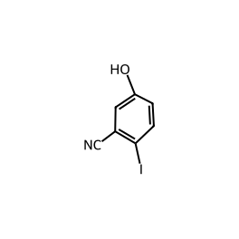 N#Cc1cc(O)ccc1I